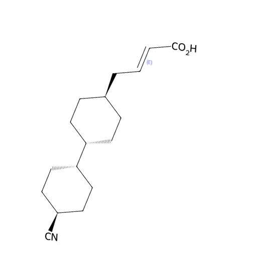 N#C[C@H]1CC[C@H]([C@H]2CC[C@H](C/C=C/C(=O)O)CC2)CC1